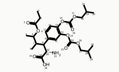 CCC(=O)OC(C)C(C)C(c1ccc(OC(=O)OCC(C)C)c(OC(=O)OCC(C)C)c1)[C@H](N)C(=O)O